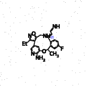 CCc1noc2c1-c1cnc(N)c(c1)OC(C)c1cc(F)ccc1/C(=C/C=N)NC2